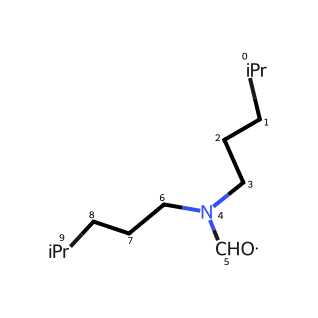 CC(C)CCCN([C]=O)CCCC(C)C